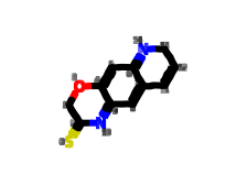 S=C1COc2cc3c(cc2=N1)C=CCN=3